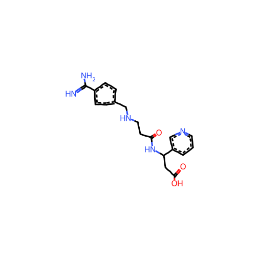 N=C(N)c1ccc(CNCCC(=O)NC(CC(=O)O)c2cccnc2)cc1